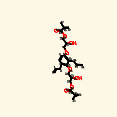 C=CCc1ccc(OCC(O)COC(=O)C(=C)C)c(CC=C)c1OCC(O)COC(=O)C(=C)C